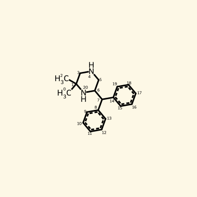 CC1(C)CNCC(C(c2ccccc2)c2ccccc2)N1